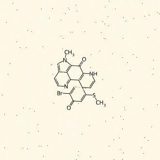 CSC1=CC(=O)C(Br)=C[C@]12C=CNC1=C2c2nccc3cn(C)c(c23)C1=O